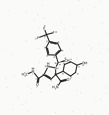 CNC(=O)C1=CC(C(N)=O)(C2CCC(O)CC2)N([C@H](C)c2ccc(C(F)(F)F)cc2)N1